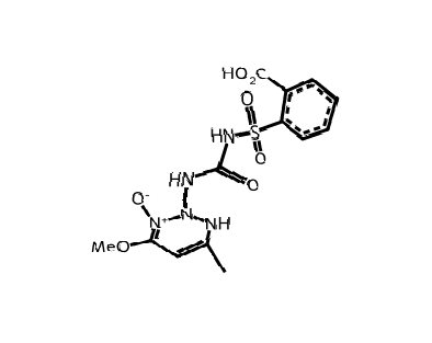 COC1=[N+]([O-])N(NC(=O)NS(=O)(=O)c2ccccc2C(=O)O)NC(C)=C1